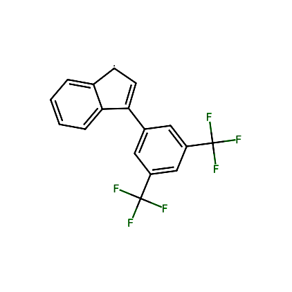 FC(F)(F)c1cc(C2=C[CH]c3ccccc32)cc(C(F)(F)F)c1